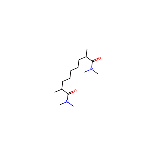 CC(CCCCCC(C)C(=O)N(C)C)C(=O)N(C)C